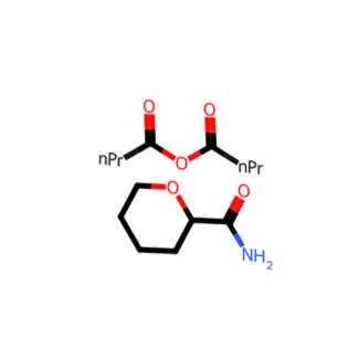 CCCC(=O)OC(=O)CCC.NC(=O)C1CCCCO1